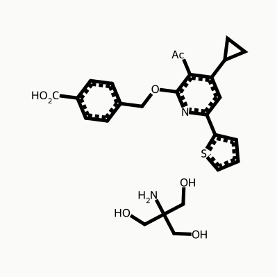 CC(=O)c1c(C2CC2)cc(-c2cccs2)nc1OCc1ccc(C(=O)O)cc1.NC(CO)(CO)CO